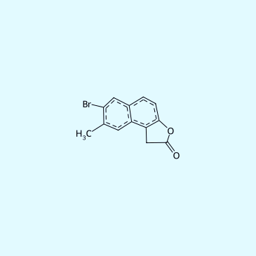 Cc1cc2c3c(ccc2cc1Br)OC(=O)C3